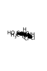 CN(c1ccc(N2NCC(=Cc3c(C(=O)O)[nH]c4cc(Cl)cc(Cl)c34)C2=O)cc1)S(=O)(=O)O